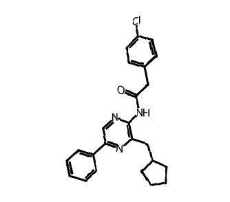 O=C(Cc1ccc(Cl)cc1)Nc1ncc(-c2ccccc2)nc1CC1CCCC1